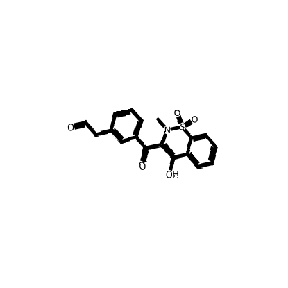 CN1C(C(=O)c2cccc(CC=O)c2)=C(O)c2ccccc2S1(=O)=O